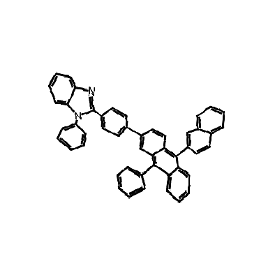 c1ccc(-c2c3ccccc3c(-c3ccc4ccccc4c3)c3ccc(-c4ccc(-c5nc6ccccc6n5-c5ccccc5)cc4)cc23)cc1